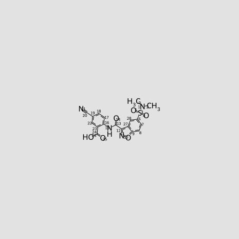 CN(C)S(=O)(=O)c1ccc2onc(C(=O)Nc3ccc(C#N)cc3C(=O)O)c2c1